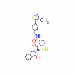 Cc1ncsc1-c1ccc(CNC(=O)[C@@H]2CCCN2C(=O)[C@H](CS)N2Cc3ccccc3C2=O)cc1